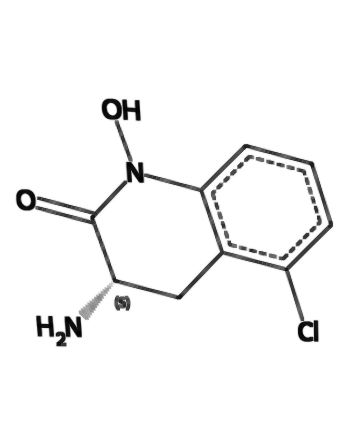 N[C@H]1Cc2c(Cl)cccc2N(O)C1=O